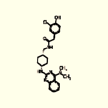 CN(C)c1nc(N[C@H]2CC[C@@H](CNC(=O)Cc3ccc(O)c(Cl)c3)CC2)nc2ccccc12